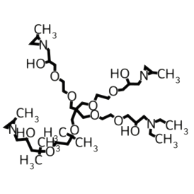 CCN(CC)CC(O)COCCOCC(COCCOCC(O)CN1CC1C)(COCCOCC(O)CN1CC1C)COC(C)(C)CCOC(C)(C)CC(O)CN1CC1C